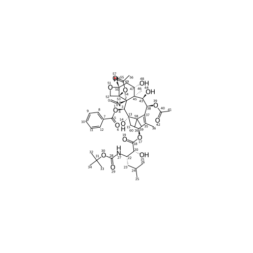 C=N[C@]12[C@H](OC(=O)c3ccccc3)[C@]3(O)C[C@H](OC(=O)[C@H](O)[C@H](CC(C)C)NC(=O)OC(C)(C)C)C(C)=C([C@H](OC(C)=O)[C@H](O)[C@]1(C)[C@@H](O)C[C@H]1OC[C@]12OC(C)=O)C3(C)C